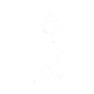 Oc1cc(C(F)(F)F)ccc1OC1CCN(c2ccc(C(F)(F)F)cn2)CC1